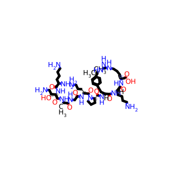 CC(NC(=O)[C@@H](NC(=O)C(N)CCCCN)[C@@H](O)CN)C(=O)NCC(=O)N[C@H](CCCN)C(=O)N1CCC[C@H]1C(=O)N[C@H]1Cc2ccc(cc2)C(C)(C)NC(=N)NCC/C=C(/C(=O)O)NC(=O)[C@H](CCCCN)NC1=O